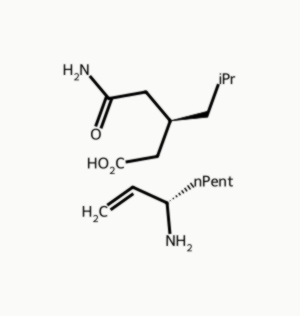 C=C[C@@H](N)CCCCC.CC(C)C[C@H](CC(N)=O)CC(=O)O